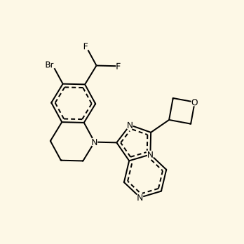 FC(F)c1cc2c(cc1Br)CCCN2c1nc(C2COC2)n2ccncc12